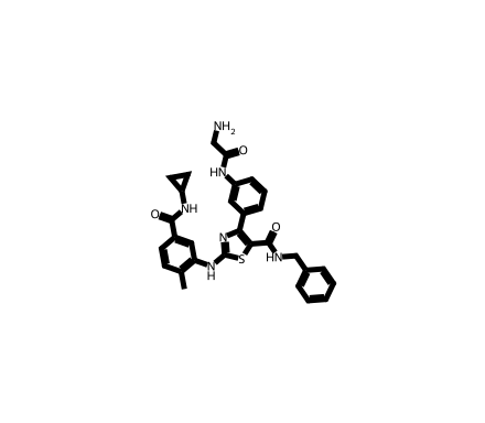 Cc1ccc(C(=O)NC2CC2)cc1Nc1nc(-c2cccc(NC(=O)CN)c2)c(C(=O)NCc2ccccc2)s1